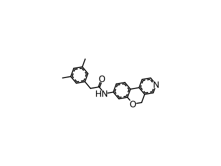 Cc1cc(C)cc(CC(=O)Nc2ccc3c(c2)OCc2cnccc2-3)c1